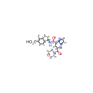 Cc1c(C(=O)O)ccc2c1CC[C@@H]2NC(=O)c1cc(C(=O)N2CCOCC2)nc2ccnn12